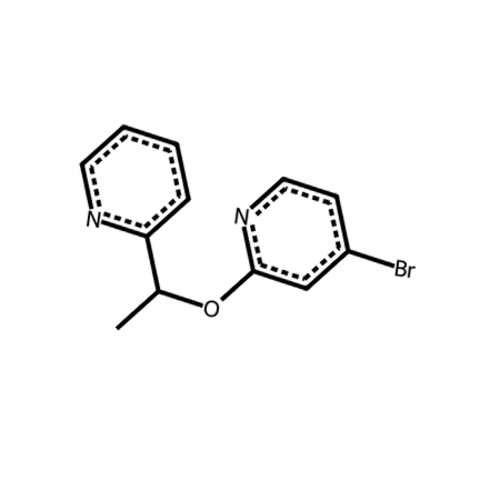 CC(Oc1cc(Br)ccn1)c1ccccn1